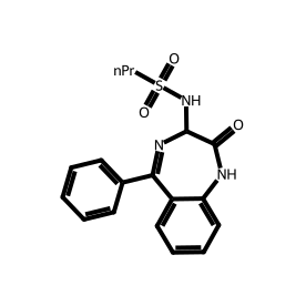 CCCS(=O)(=O)NC1N=C(c2ccccc2)c2ccccc2NC1=O